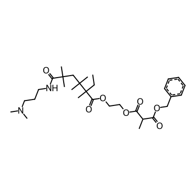 CCC(C)(C(=O)OCCOC(=O)C(C)C(=O)OCc1ccccc1)C(C)(C)CC(C)(C)C(=O)NCCCN(C)C